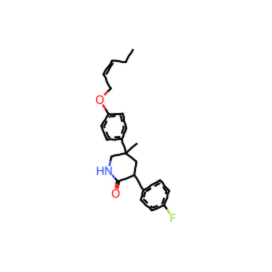 CC/C=C\COc1ccc(C2(C)CNC(=O)C(c3ccc(F)cc3)C2)cc1